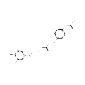 NC(=O)Nc1ccc(CCC(=O)NCCNc2ccc(Cl)c(Cl)c2)cc1